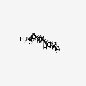 CC(C)(C)OC(=O)N1CCC(NCc2ccc(-c3cccc(C(N)=O)c3)nc2)CC1